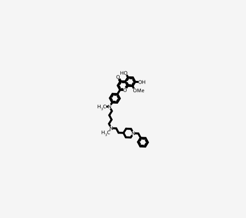 COc1c(O)cc(O)c2c(=O)cc(-c3ccc(N(C)CCCCN(C)CCC4CCN(Cc5ccccc5)CC4)cc3)oc12